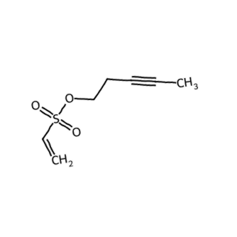 C=CS(=O)(=O)OCCC#CC